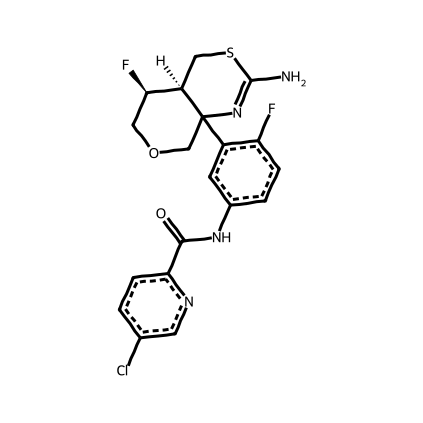 NC1=NC2(c3cc(NC(=O)c4ccc(Cl)cn4)ccc3F)COC[C@@H](F)[C@H]2CS1